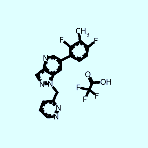 Cc1c(F)ccc(-c2cnc3cnn(Cc4cccnn4)c3c2)c1F.O=C(O)C(F)(F)F